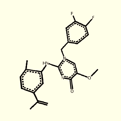 C=C(C)c1ccc(C)c(Nc2nc(=O)c(OC)cn2Cc2ccc(F)c(F)c2)c1